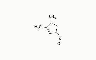 CC1=CC(C=O)CC1C